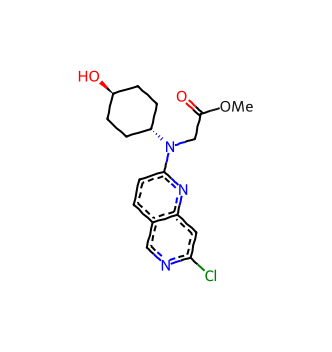 COC(=O)CN(c1ccc2cnc(Cl)cc2n1)[C@H]1CC[C@H](O)CC1